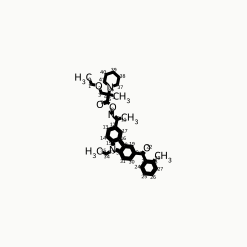 CCOCC(C)(C(=O)O/N=C(\C)c1ccc2c(c1)c1cc(C(=O)c3ccccc3C)ccc1n2CC)N1CCCCC1